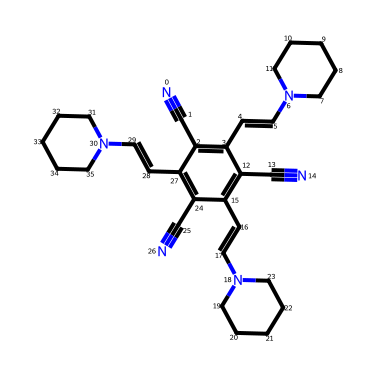 N#Cc1c(C=CN2CCCCC2)c(C#N)c(C=CN2CCCCC2)c(C#N)c1C=CN1CCCCC1